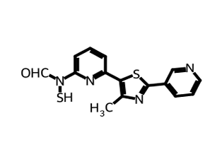 Cc1nc(-c2cccnc2)sc1-c1cccc(N(S)C=O)n1